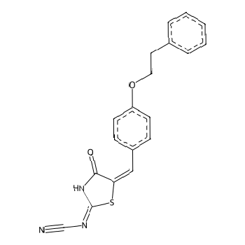 N#C/N=C1\NC(=O)/C(=C\c2ccc(OCCc3ccccc3)cc2)S1